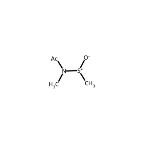 CC(=O)N(C)[S+](C)[O-]